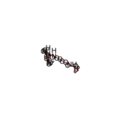 O=C(CCCC(=O)Nc1cc([N+](=O)[O-])ccc1COC(=O)Oc1ccc([N+](=O)[O-])cc1)NCCOCCOCCOCCOCCC(=O)NCCCCCC(=O)N1Cc2ccccc2C#Cc2ccccc21